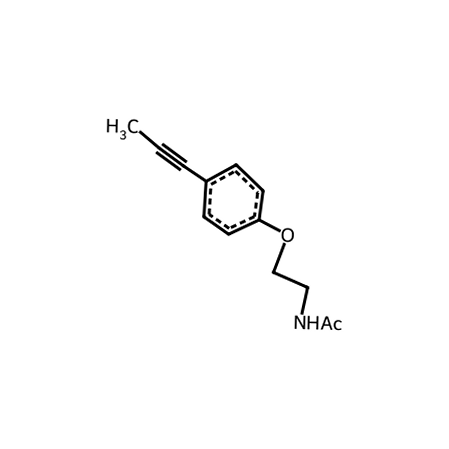 CC#Cc1ccc(OCCNC(C)=O)cc1